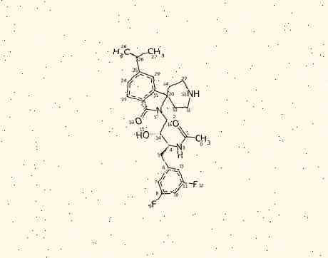 CC(=O)N[C@@H](Cc1cc(F)cc(F)c1)[C@H](O)CN(C=O)C1(c2cccc(C(C)C)c2)CCNCC1